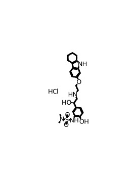 CN(C)S(=O)(=O)Nc1cc([C@@H](O)CNCCOc2ccc3c4c([nH]c3c2)CCCC4)ccc1O.Cl